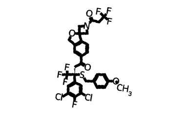 COc1ccc(CS[C@@](CC(=O)c2ccc3c(c2)COC32CN(C(=O)CC(F)(F)F)C2)(c2cc(Cl)c(F)c(Cl)c2)C(F)(F)F)cc1